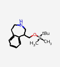 CC(C)(C)[Si](C)(C)OCC1CNCCc2ccccc21